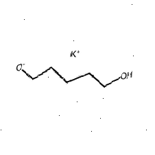 [K+].[O-]CCCCCO